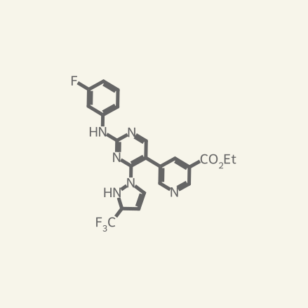 CCOC(=O)c1cncc(-c2cnc(Nc3cccc(F)c3)nc2N2C=CC(C(F)(F)F)N2)c1